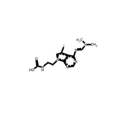 CN(C)C=Nc1ncnc2c1c(I)cn2CCNC(=O)O